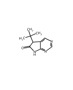 CC(C)(C)C1C(=O)Nc2ncncc21